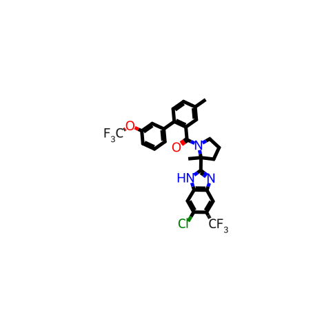 Cc1ccc(-c2cccc(OC(F)(F)F)c2)c(C(=O)N2CCCC2(C)c2nc3cc(C(F)(F)F)c(Cl)cc3[nH]2)c1